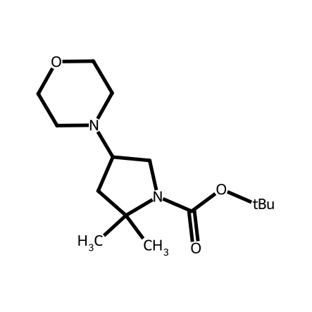 CC(C)(C)OC(=O)N1CC(N2CCOCC2)CC1(C)C